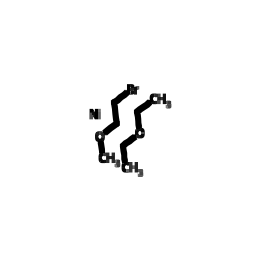 CCOCC.COCCBr.[Ni]